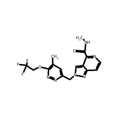 CNC(=O)c1nccc2nn(Cc3cc(C)c(OCC(F)(F)F)nn3)cc12